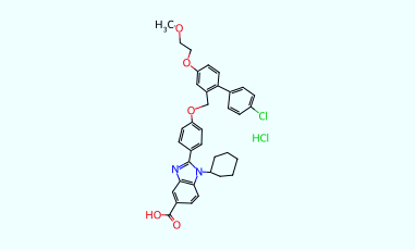 COCCOc1ccc(-c2ccc(Cl)cc2)c(COc2ccc(-c3nc4cc(C(=O)O)ccc4n3C3CCCCC3)cc2)c1.Cl